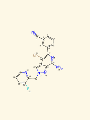 N#Cc1cccc(-c2nc(N)c3nn(Cc4ncccc4F)cc3c2Br)c1